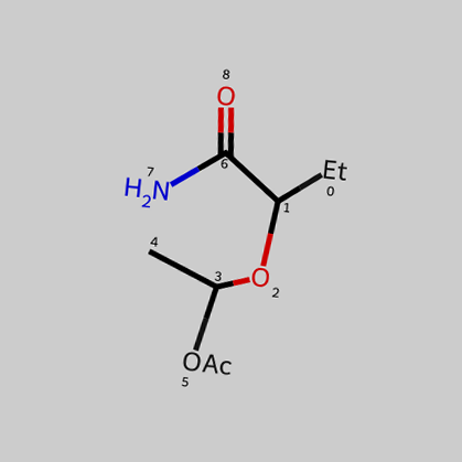 CCC(OC(C)OC(C)=O)C(N)=O